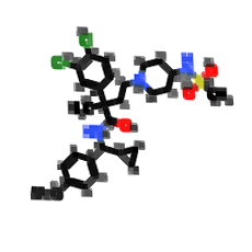 COc1ccc(C(NC(=O)C(C)(CCN2CCC(NS(C)(=O)=O)CC2)c2ccc(Cl)c(Cl)c2)C2CC2)cc1